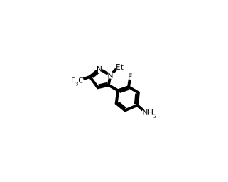 CCn1nc(C(F)(F)F)cc1-c1ccc(N)cc1F